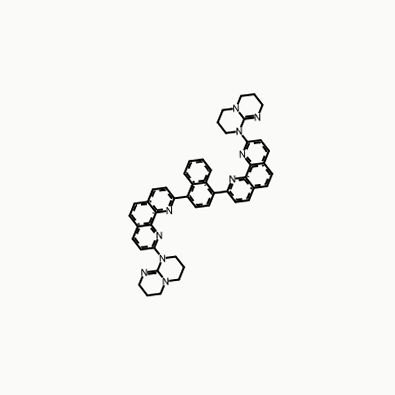 c1ccc2c(-c3ccc4ccc5ccc(N6CCCN7CCCN=C76)nc5c4n3)ccc(-c3ccc4ccc5ccc(N6CCCN7CCCN=C76)nc5c4n3)c2c1